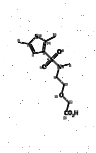 Cc1cc(S(=O)(=O)N(C)CCOCC(=O)O)c(C)s1